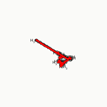 CC[C@@]1(O)C(=O)OCc2c1cc1n(c2=O)Cc2c-1nc1cc(F)c(C)c3c1c2[C@@H](NC(=O)C12CC(NC(=O)OCc4ccc(O[C@@H]5O[C@H](C(=O)O)[C@@H](O)[C@H](O)[C@H]5O)c(CNC(=O)CCNC(=O)[C@H](CCCC(=O)N[C@H]5CO[C@H]6[C@@H]5OC[C@@H]6NC(=O)CCOCCOCCOCCOCCOCCOCCOCCOCCOCCOCCOCCOC)NC(=O)CN5C(=O)C=CC5=O)c4)(C1)C2)CC3